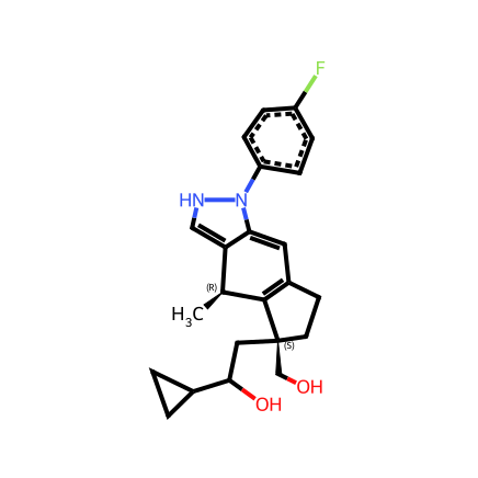 C[C@H]1C2=CNN(c3ccc(F)cc3)C2=CC2=C1[C@@](CO)(CC(O)C1CC1)CC2